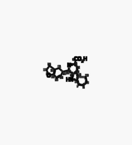 O=C(O)c1cc2c([nH]c3ccccc32)c(C2C=CC3=C(CCO3)C2)n1